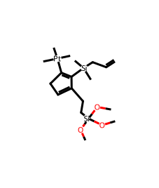 C=CC[Si](C)(C)C1=[C]([Pt]([CH3])([CH3])[CH3])CC=C1CC[Si](OC)(OC)OC